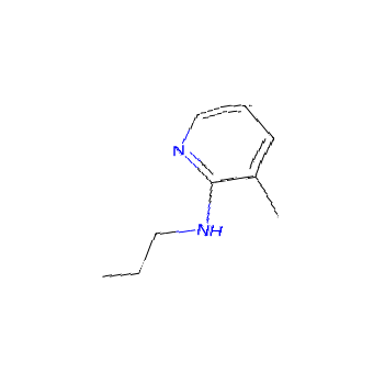 CCCNc1nc[c]cc1C